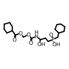 O=C(NC(O)CCP(=O)(O)CC1CCCCC1)OCOC(=O)C1CCCCC1